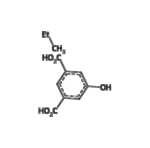 CCC.O=C(O)c1cc(O)cc(C(=O)O)c1